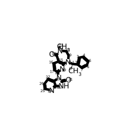 C[C@@H](c1ccccc1)N1CCN(C)C(=O)c2ccc(-n3c(=O)[nH]c4ncccc43)nc21